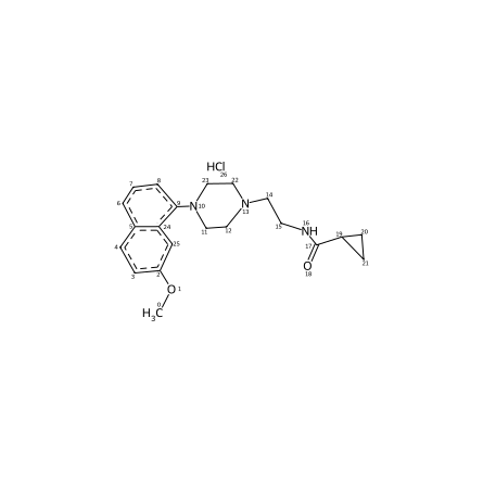 COc1ccc2cccc(N3CCN(CCNC(=O)C4CC4)CC3)c2c1.Cl